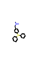 CNCc1ccc([S+](c2ccccc2)c2ccccc2)cc1